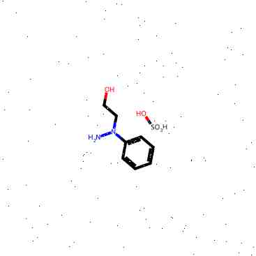 NN(CCO)c1ccccc1.O=S(=O)(O)O